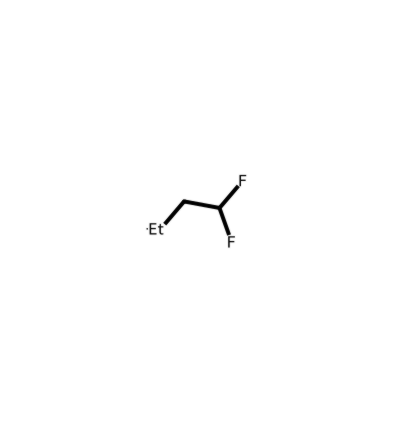 C[CH]CC(F)F